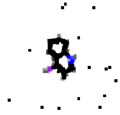 Cc1cnc2ccccc2c1I